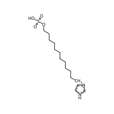 CCCCCCCCCCCCOS(=O)(=O)O.c1c[nH]cn1